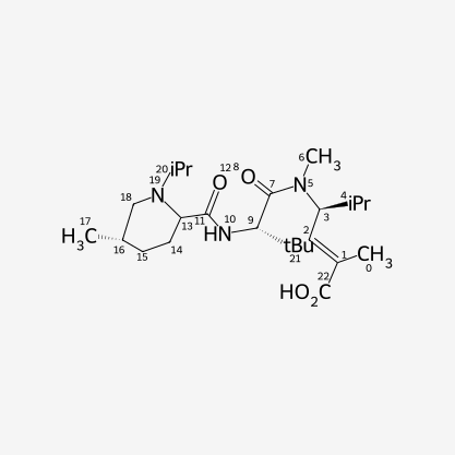 C/C(=C\[C@H](C(C)C)N(C)C(=O)[C@@H](NC(=O)C1CC[C@H](C)CN1C(C)C)C(C)(C)C)C(=O)O